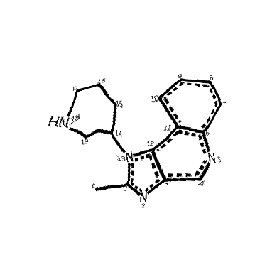 Cc1nc2cnc3ccccc3c2n1C1CCCNC1